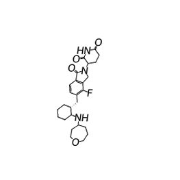 O=C1CCC(N2Cc3c(ccc(C[C@H]4CCCC[C@@H]4NC4CCCOCC4)c3F)C2=O)C(=O)N1